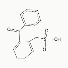 O=C(C1=CCCC=C1CS(=O)(=O)O)c1ccccc1